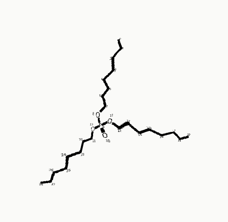 CCCCCCCCOP(=O)(OCCCCCCCC)OCCCCCCCC